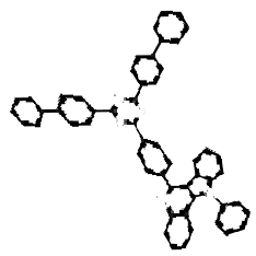 c1ccc(-c2ccc(-c3nc(-c4ccc(-c5ccccc5)cc4)nc(-c4ccc(-c5nc6ccccc6c6c5c5ccccc5n6-c5ccccc5)cc4)n3)cc2)cc1